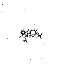 COc1ccnc(C(=O)N[C@H]2CCCC(C)[C@@H](OCC(C)C)[C@H](C)OC2=O)c1OCOC(C)=O